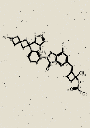 CC(=O)N1CC2(C1)CC(c1cccc(N3Cc4c(cc(CC5CCC5(C)OC(N)=O)cc4C(F)(F)F)C3=O)c1)(c1nncn1C)C2